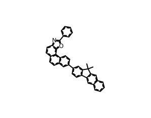 CC1(C)c2cc(-c3ccc4c(ccc5ccc6nc(-c7ccccc7)oc6c54)c3)ccc2-c2cc3ccccc3cc21